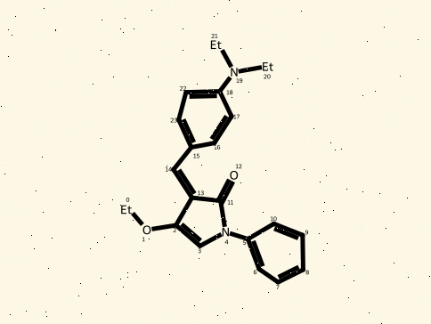 CCOC1=CN(c2ccccc2)C(=O)C1=Cc1ccc(N(CC)CC)cc1